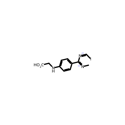 C/N=C(\N=C/I)c1ccc(NCC(=O)O)cc1